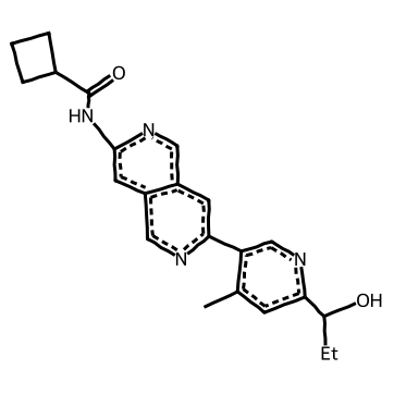 CCC(O)c1cc(C)c(-c2cc3cnc(NC(=O)C4CCC4)cc3cn2)cn1